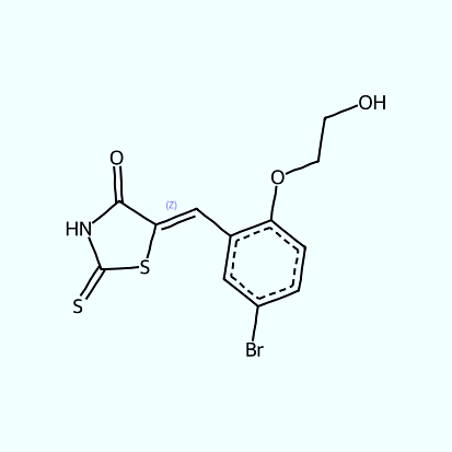 O=C1NC(=S)S/C1=C\c1cc(Br)ccc1OCCO